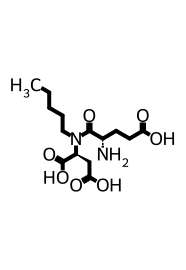 CCCCCN(C(=O)[C@@H](N)CCC(=O)O)[C@@H](CC(=O)O)C(=O)O